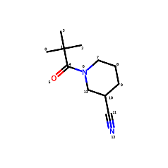 CC(C)(C)C(=O)N1CCCC(C#N)C1